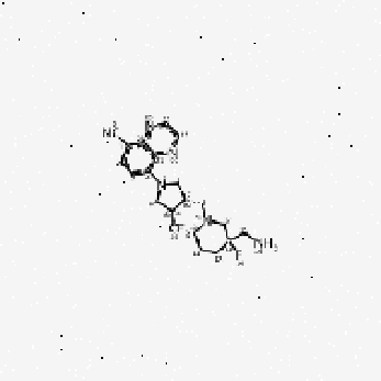 N#Cc1ccc(N2C[C@H](CN3CCCC(F)(CN)C3)[C@@H](C(F)(F)F)C2)c2nccnc12